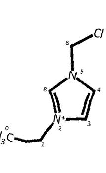 CC[n+]1ccn(CCl)c1